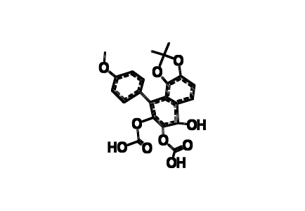 COc1ccc(-c2c(OC(=O)O)c(OC(=O)O)c(O)c3ccc4c(c23)OC(C)(C)O4)cc1